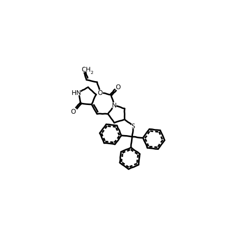 C=CCOC(=O)N1CC(SC(c2ccccc2)(c2ccccc2)c2ccccc2)CC1C=C1CCNC1=O